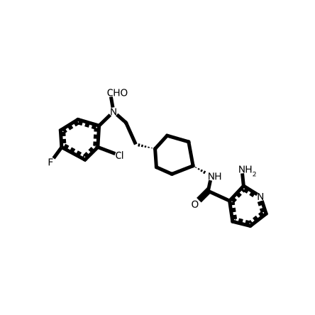 Nc1ncccc1C(=O)N[C@H]1CC[C@@H](CCN(C=O)c2ccc(F)cc2Cl)CC1